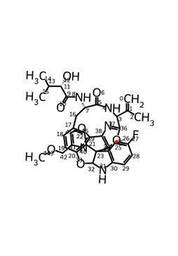 C=C(C)C1NC(=O)[C@@H](NC(=O)[C@@H](O)C(C)C)Cc2ccc3c(c2)C2(c4cc(F)ccc4NC2O3)c2oc1nc2-c1nc(COC)co1